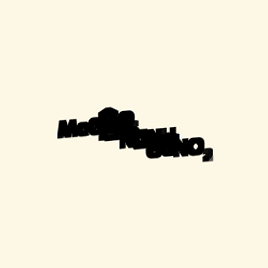 COc1cccc(C(=O)Nc2nc3ccc(NC(=O)c4ccc([N+](=O)[O-])o4)cc3s2)c1Cl